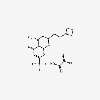 CN1CC(CCN2CCC2)OC2=CC(C(F)(F)F)=CC(=S)C21.O=C(O)C(=O)O